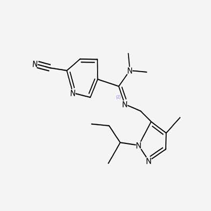 CCC(C)n1ncc(C)c1C/N=C(/c1ccc(C#N)nc1)N(C)C